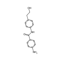 Nc1ccc(C(=O)Nc2ccc(CCO)cc2)cc1